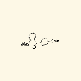 CSc1ccc(C(=O)c2ccccc2SC)cc1